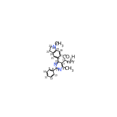 CCCC(C(=O)O)c1c(C)nc(-c2ccccc2)nc1-c1ccc2c(c1)CCN2C